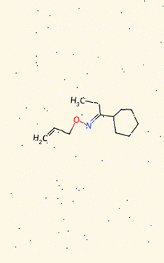 C=CCON=C(CC)C1CCCCC1